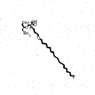 BC[C@@H](CO)OCP(=O)(O)OCCCOCCCCCCCCCCCCCCCCF